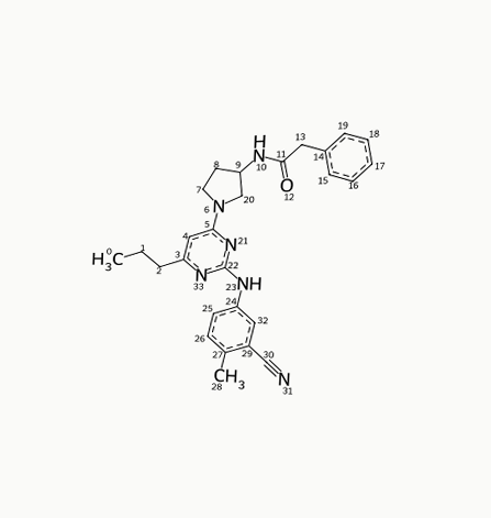 CCCc1cc(N2CCC(NC(=O)Cc3ccccc3)C2)nc(Nc2ccc(C)c(C#N)c2)n1